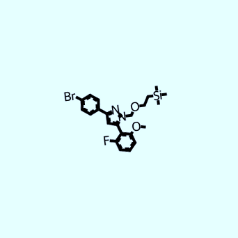 COc1cccc(F)c1-c1cc(-c2ccc(Br)cc2)nn1COCC[Si](C)(C)C